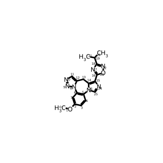 COc1ccc2c(c1)-n1nncc1Cc1c(-c3nc(C(C)C)no3)ncn1-2